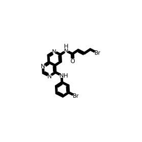 O=C(/C=C/CBr)Nc1cc2c(Nc3cccc(Br)c3)ncnc2cn1